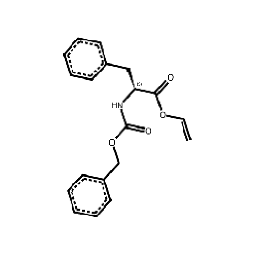 C=COC(=O)[C@H](Cc1ccccc1)NC(=O)OCc1ccccc1